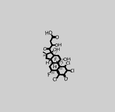 C[C@@H]1C[C@H]2[C@@H]3C[C@H](F)C4=C(Cl)C(=O)C(Cl)C(Cl)[C@]4(C)[C@@]3(F)[C@@H](O)C[C@]2(C)[C@@]1(O)C(=O)C(O)CC(=O)O